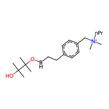 CCC[N+](C)(C)Cc1ccc(CCBOC(C)(C)C(C)(C)O)cc1